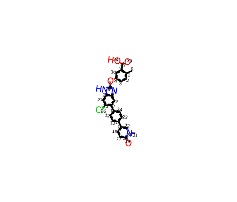 Cc1ccc(Oc2nc3cc(-c4ccc(-c5ccc(=O)n(C)c5)cc4)c(Cl)cc3[nH]2)cc1C(=O)O